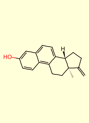 C=C1CC[C@H]2c3ccc4cc(O)ccc4c3CC[C@]12C